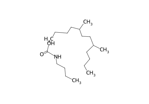 CCCCC(C)CCC(C)CCCC.CCCCNC(=O)O